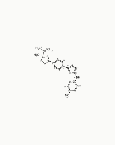 CN(C)[C@]1(C)CCN(c2ccc(-n3cnc(Nc4cnc(C#N)cn4)c3)cc2)C1